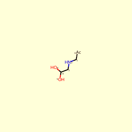 CC(=O)CNCC(O)O